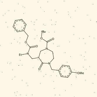 CCN(CC1CN(C(=O)OC(C)(C)C)CCN(Cc2ccc(OC)cc2)C1=O)C(=O)OCc1ccccc1